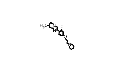 Cc1ccn2cc(-c3ccc(OCCCN4CCCCC4)cc3F)nc2c1